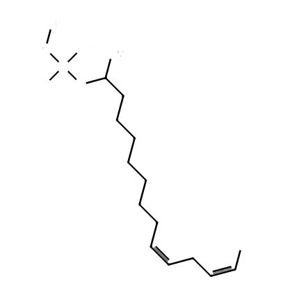 CCCCC/C=C\C/C=C\CCCCCCCC(OC)O[Si](C)(C)OCCCC